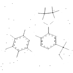 CCC(C)(O)c1ccc(C)c(B2OC(C)(C)C(C)(C)O2)c1.Fc1cc(F)c(F)c(F)c1F